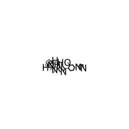 CN(c1cnc(-c2ccc(-n3ccnc3)cc2O)cn1)[C@H]1C[C@H]2CC[C@@H](C1)N2